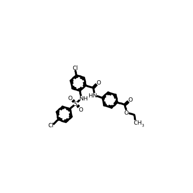 CCOC(=O)c1ccc(NC(=O)c2cc(Cl)ccc2NS(=O)(=O)c2ccc(Cl)cc2)cc1